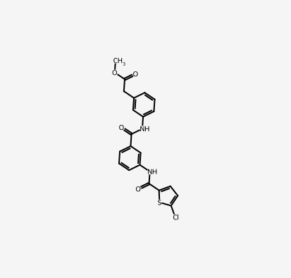 COC(=O)Cc1cccc(NC(=O)c2cccc(NC(=O)c3ccc(Cl)s3)c2)c1